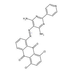 Nc1nc(-c2ccncc2)nc(N)c1/N=N/c1cccc2c1C(=O)c1c(Cl)ccc(Cl)c1C2=O